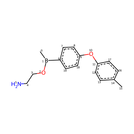 CB(OCCN)c1ccc(Oc2ccc(C)cc2)cc1